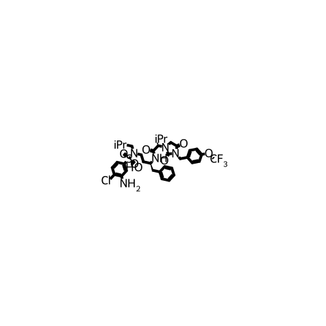 CC(C)CN(C[C@H](O)[C@H](Cc1ccccc1)NC(=O)[C@H](C(C)C)N1CC(=O)N(Cc2ccc(OC(F)(F)F)cc2)C1=O)S(=O)(=O)c1ccc(Cl)c(N)c1